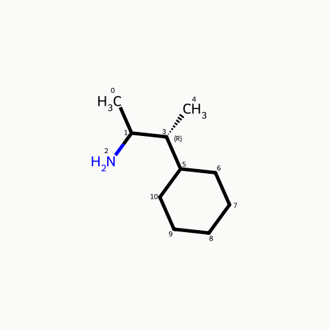 CC(N)[C@H](C)C1CCCCC1